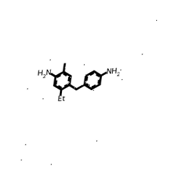 CCc1cc(N)c(C)cc1Cc1ccc(N)cc1